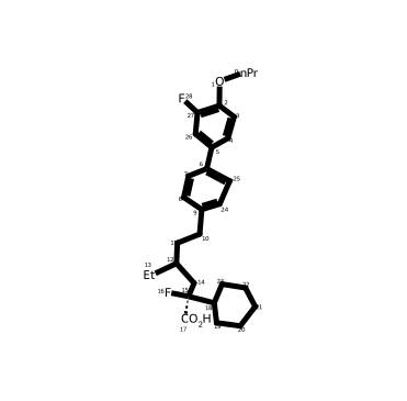 CCCOc1ccc(-c2ccc(CCC(CC)C[C@@](F)(C(=O)O)C3CCCCC3)cc2)cc1F